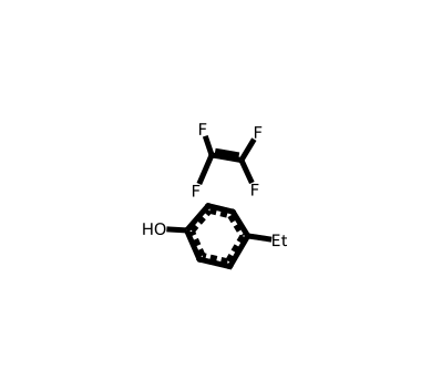 CCc1ccc(O)cc1.FC(F)=C(F)F